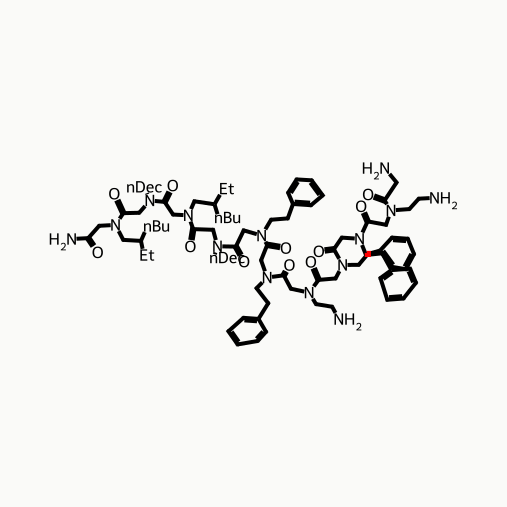 CCCCCCCCCCN(CC(=O)N(CC(=O)N(CCCCCCCCCC)CC(=O)N(CC(N)=O)CC(CC)CCCC)CC(CC)CCCC)C(=O)CN(CCc1ccccc1)C(=O)CN(CCc1ccccc1)C(=O)CN(CCN)C(=O)CN(CCc1ccccc1)C(=O)CN(CCc1ccccc1)C(=O)CN(CCN)C(=O)CN